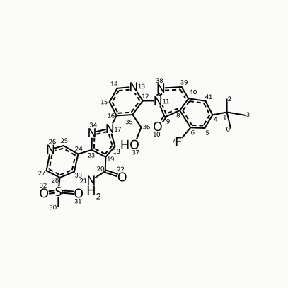 CC(C)(C)c1cc(F)c2c(=O)n(-c3nccc(-n4cc(C(N)=O)c(-c5cncc(S(C)(=O)=O)c5)n4)c3CO)ncc2c1